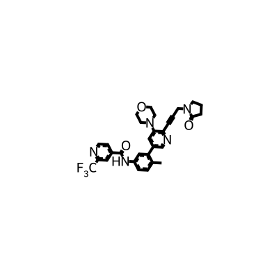 Cc1ccc(NC(=O)c2ccnc(C(F)(F)F)c2)cc1-c1cnc(C#CCN2CCCC2=O)c(N2CCOCC2)c1